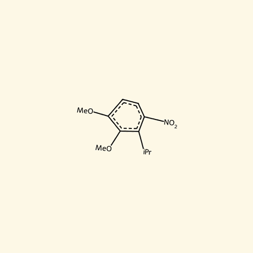 COc1ccc([N+](=O)[O-])c(C(C)C)c1OC